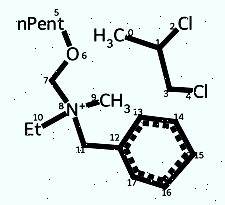 CC(Cl)CCl.CCCCCOC[N+](C)(CC)Cc1ccccc1